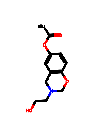 CCCCC(=O)Oc1ccc2c(c1)CN(CCO)CO2